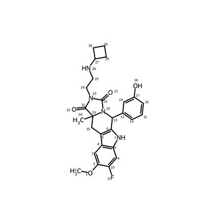 COc1cc2c3c([nH]c2cc1F)C(c1cccc(O)c1)N1C(=O)N(CCNC2CCC2)C(=O)C1(C)C3